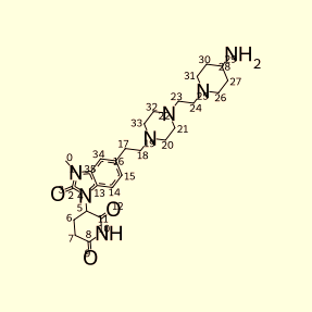 Cn1c(=O)n(C2CCC(=O)NC2=O)c2ccc(CCN3CCN(CCN4CCC(N)CC4)CC3)cc21